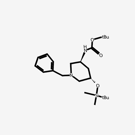 CC(C)(C)OC(=O)N[C@H]1C[C@H](O[Si](C)(C)C(C)(C)C)CN(Cc2ccccc2)C1